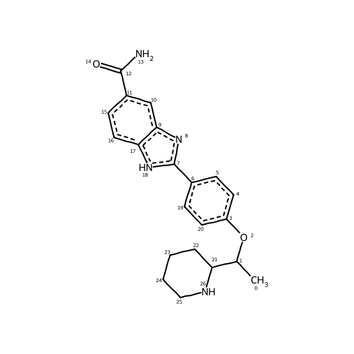 CC(Oc1ccc(-c2nc3cc(C(N)=O)ccc3[nH]2)cc1)C1CCCCN1